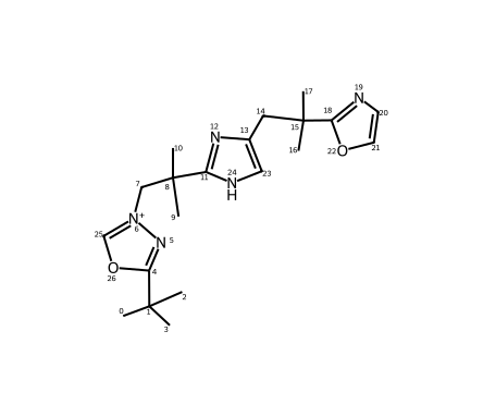 CC(C)(C)c1n[n+](CC(C)(C)c2nc(CC(C)(C)c3ncco3)c[nH]2)co1